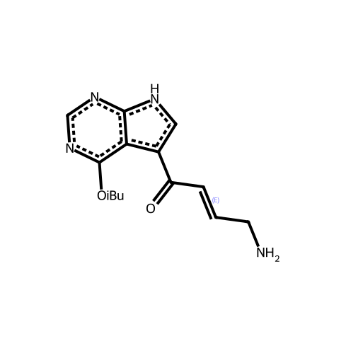 CC(C)COc1ncnc2[nH]cc(C(=O)/C=C/CN)c12